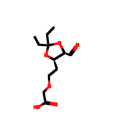 CCC1(CC)O[C@@H](CCOCC(=O)O)[C@@H](C=O)O1